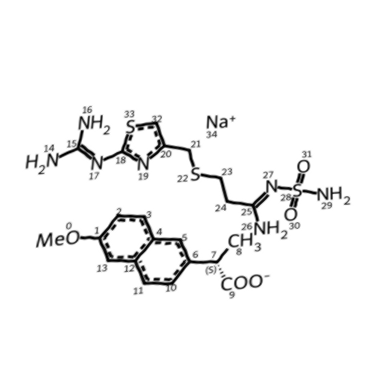 COc1ccc2cc([C@H](C)C(=O)[O-])ccc2c1.NC(N)=Nc1nc(CSCCC(N)=NS(N)(=O)=O)cs1.[Na+]